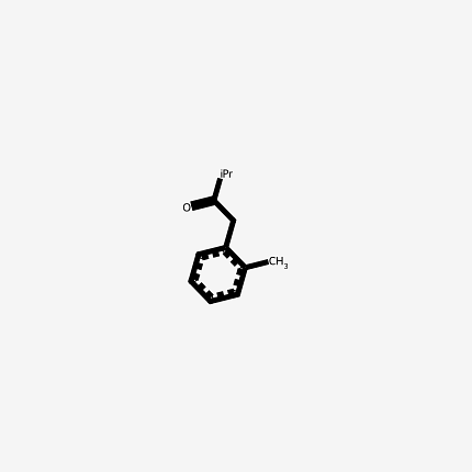 Cc1ccccc1CC(=O)C(C)C